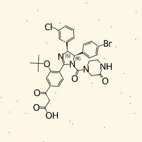 CC(C)(C)Oc1cc(C(=O)CC(=O)O)ccc1C1=N[C@@H](c2cccc(Cl)c2)[C@@H](c2ccc(Br)cc2)N1C(=O)N1CCNC(=O)C1